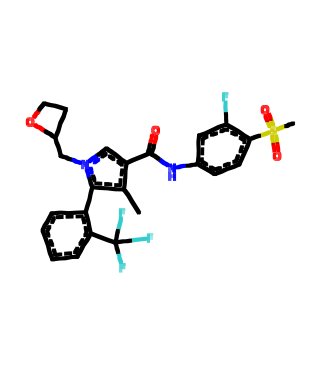 Cc1c(C(=O)Nc2ccc(S(C)(=O)=O)c(F)c2)cn(CC2CCO2)c1-c1ccccc1C(F)(F)F